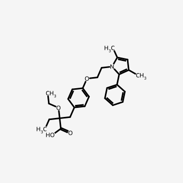 CCOC(CC)(Cc1ccc(OCCn2c(C)cc(C)c2-c2ccccc2)cc1)C(=O)O